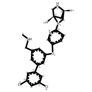 CNCc1cc(Oc2ccc(N3C[C@@H]4C[C@H]3CN4)nc2)cc(-c2cc(Cl)cc(Cl)c2)c1